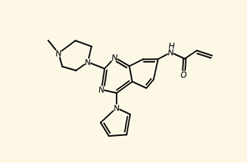 C=CC(=O)Nc1ccc2c(-n3cccc3)nc(N3CCN(C)CC3)nc2c1